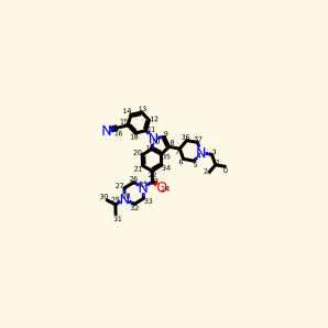 CC(C)CN1CCC(c2cn(-c3cccc(C#N)c3)c3ccc(C(=O)N4CCN(C(C)C)CC4)cc23)CC1